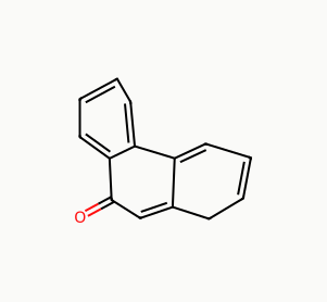 O=C1C=C2CC=CC=C2c2ccccc21